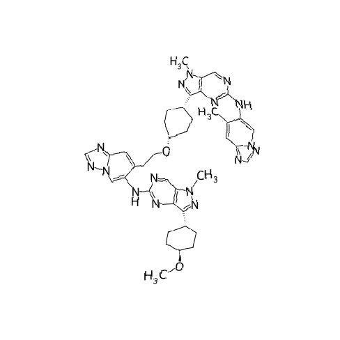 CO[C@H]1CC[C@H](c2nn(C)c3cnc(Nc4cn5ncnc5cc4CCO[C@H]4CC[C@@H](c5nn(C)c6cnc(Nc7cn8ncnc8cc7C)nc65)CC4)nc32)CC1